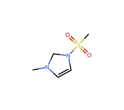 CN1C=CN(S(C)(=O)=O)C1